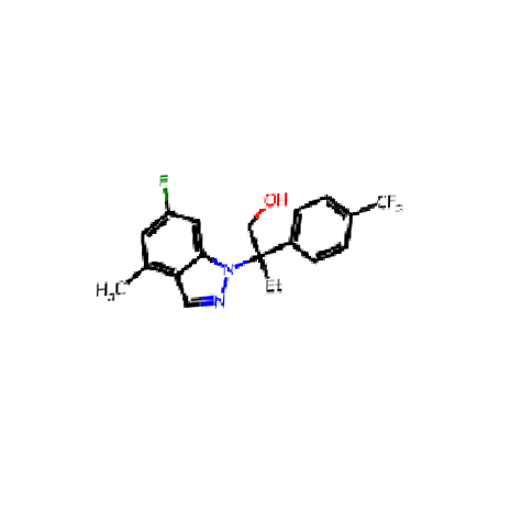 CCC(CO)(c1ccc(C(F)(F)F)cc1)n1ncc2c(C)cc(F)cc21